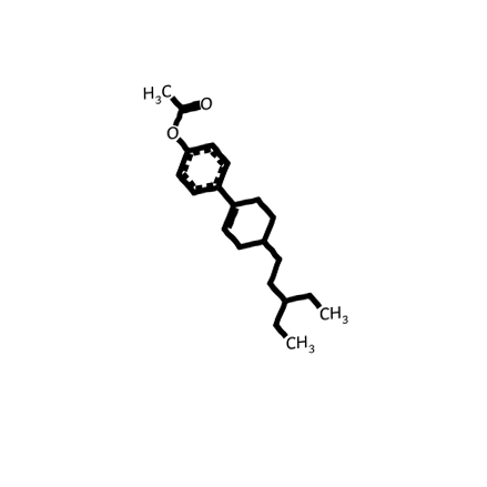 CCC(CC)CCC1CC=C(c2ccc(OC(C)=O)cc2)CC1